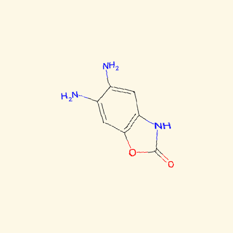 Nc1cc2[nH]c(=O)oc2cc1N